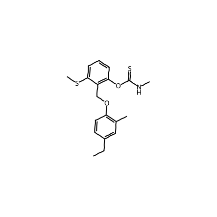 CCc1ccc(OCc2c(OC(=S)NC)cccc2SC)c(C)c1